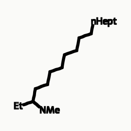 CCCCCCCCCCCCCCCC(CC)NC